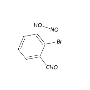 O=Cc1ccccc1Br.O=NO